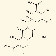 CN(C)C1C(O)=C(C(N)=O)C(=O)C2(O)C(O)=C3C(=O)c4c(cc(F)c(NC=O)c4O)CC3CC12.Cl